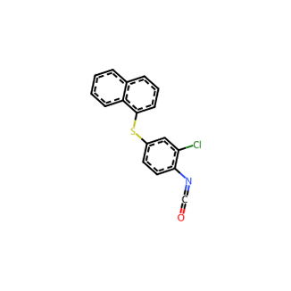 O=C=Nc1ccc(Sc2cccc3ccccc23)cc1Cl